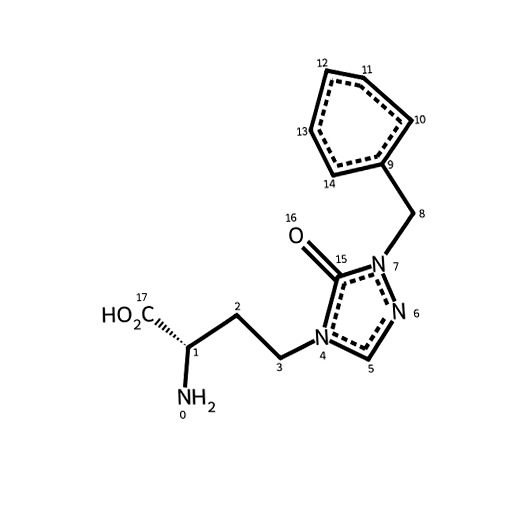 N[C@@H](CCn1cnn(Cc2ccccc2)c1=O)C(=O)O